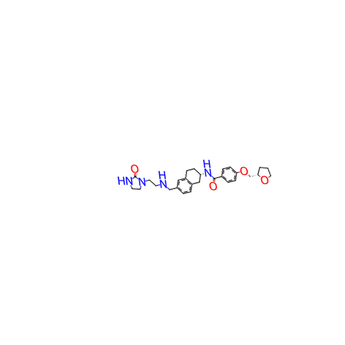 O=C(N[C@H]1CCc2cc(CNCCN3CCNC3=O)ccc2C1)c1ccc(OC[C@@H]2CCCO2)cc1